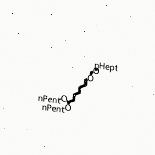 CCCCCCCOCOC=CCCCCC(OCCCCC)OCCCCC